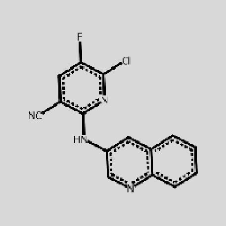 N#Cc1cc(F)c(Cl)nc1Nc1cnc2ccccc2c1